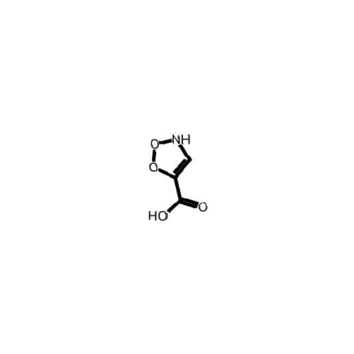 O=C(O)C1=CNOO1